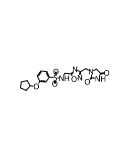 O=C1CN(Cc2noc(CNS(=O)(=O)c3cccc(OC4CCCC4)c3)n2)C(=O)N1